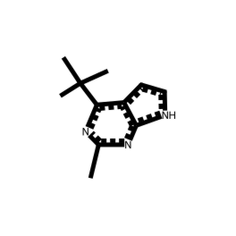 Cc1nc(C(C)(C)C)c2cc[nH]c2n1